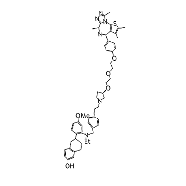 CCN(Cc1ccc(CCN2CC[C@@H](OCCOCCOc3ccc(C4=N[C@@H](C)c5nnc(C)n5-c5sc(C)c(C)c54)cc3)C2)cc1)c1cc(OC)ccc1[C@H]1CCc2cc(O)ccc2C1